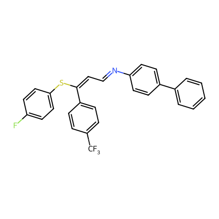 Fc1ccc(SC(=CC=Nc2ccc(-c3ccccc3)cc2)c2ccc(C(F)(F)F)cc2)cc1